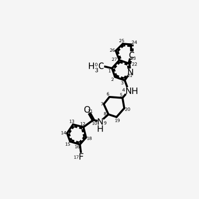 Cc1cc(NC2CCC(NC(=O)c3cccc(F)c3)CC2)nc2ccccc12